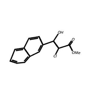 COC(=O)C(Cl)C(O)c1ccc2ccccc2c1